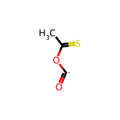 CC(=S)O[C]=O